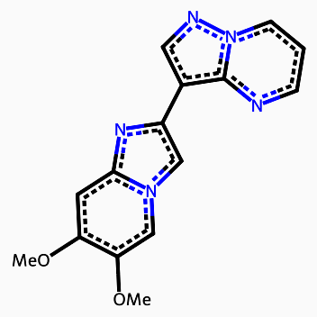 COc1cc2nc(-c3cnn4cccnc34)cn2cc1OC